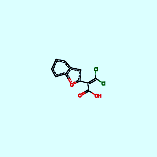 O=C(O)C(=C(Cl)Cl)c1cc2ccccc2o1